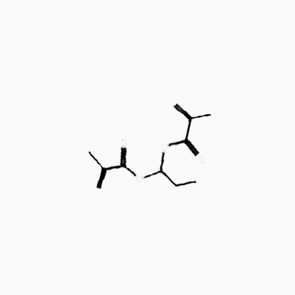 [CH2]CC(OC(=O)C(=C)C)OC(=O)C(=C)C